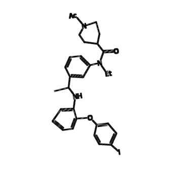 CCN(C(=O)C1CCN(C(C)=O)CC1)c1cccc(C(C)Nc2ccccc2Oc2ccc(I)cc2)c1